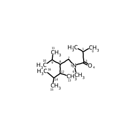 CC(C)C(=O)N(C)CC(C(C)C)C(C)C(C)C